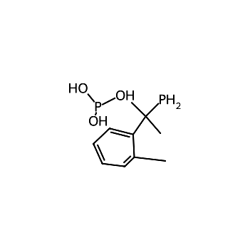 Cc1ccccc1C(C)(C)P.OP(O)O